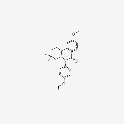 CCOc1ccc(C2C(=O)c3ccc(OC)cc3C3CCC(C)(C)CC32)cc1